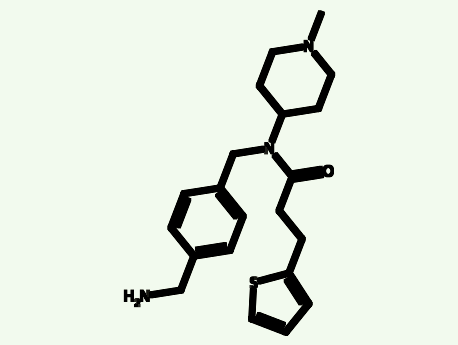 CN1CCC(N(Cc2ccc(CN)cc2)C(=O)CCc2cccs2)CC1